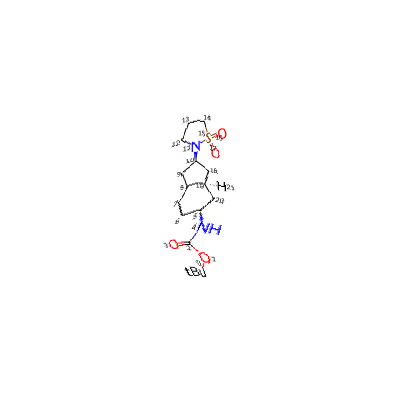 CC(C)(C)OC(=O)N[C@H]1CCC2C[C@@H](N3CCCS3(=O)=O)C[C@H]2C1